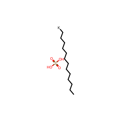 CCCCCCCCCCCC[CH2][K].O=S(=O)(O)O